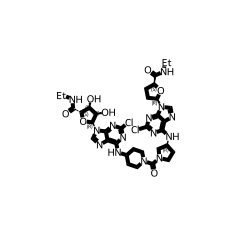 CCNC(=O)[C@@H]1CC[C@H](n2cnc3c(N[C@@H]4CCN(C(=O)N5CCC(Nc6nc(Cl)nc7c6ncn7[C@@H]6O[C@H](C(=O)NCC)[C@@H](O)[C@H]6O)CC5)C4)nc(Cl)nc32)O1